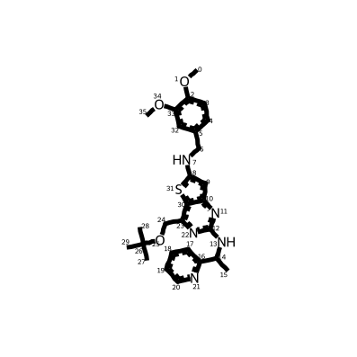 COc1ccc(CNc2cc3nc(NC(C)c4ccccn4)nc(COC(C)(C)C)c3s2)cc1OC